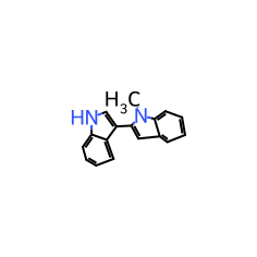 Cn1c(-c2c[nH]c3ccccc23)cc2ccccc21